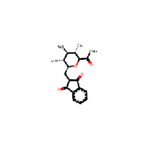 COC(=O)C1O[C@@H](CC2C(=O)c3ccccc3C2=O)[C@H](OC(C)=O)[C@@H](OC(C)=O)[C@@H]1OC(C)=O